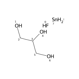 F.OCC(O)CO.[SnH2]